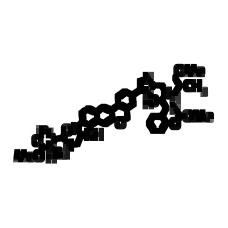 CC[C@H](C)N(Cc1nc2ccc3cc4c(cc3c2[nH]1)OCc1cc(-c2cnc(CN(C[C@H](C)COC)C(=O)[C@H](NC(=O)OC)c3ccccc3)[nH]2)ccc1-4)C(=O)[C@@H](NC(=O)OC)C(C)C